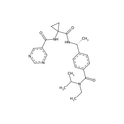 CCN(C(=O)c1ccc([C@@H](C)NC(=O)C2(NC(=O)c3cncnc3)CC2)cc1)C(C)C